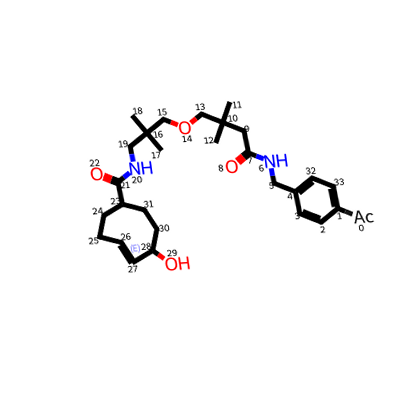 CC(=O)c1ccc(CNC(=O)CC(C)(C)COCC(C)(C)CNC(=O)C2CC/C=C/C(O)CC2)cc1